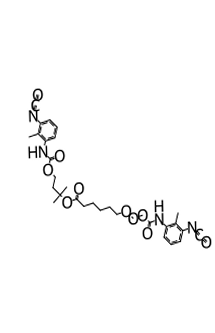 Cc1c(N=C=O)cccc1NC(=O)OCCC(C)(C)OC(=O)CCCCCOOOC(=O)Nc1cccc(N=C=O)c1C